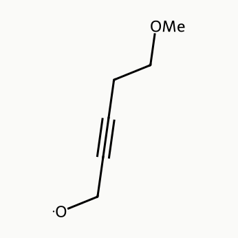 COCCC#CC[O]